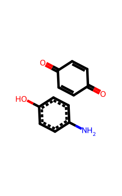 Nc1ccc(O)cc1.O=C1C=CC(=O)C=C1